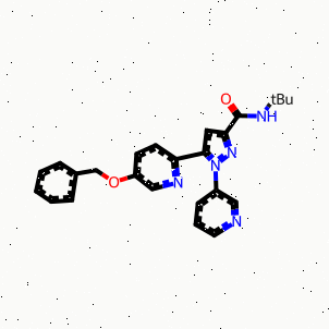 CC(C)(C)NC(=O)c1cc(-c2ccc(OCc3ccccc3)cn2)n(-c2cccnc2)n1